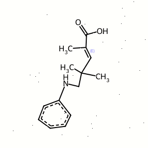 C/C(=C\C(C)(C)CNc1ccccc1)C(=O)O